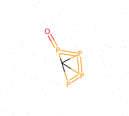 O=P1=P2=P3=PC132